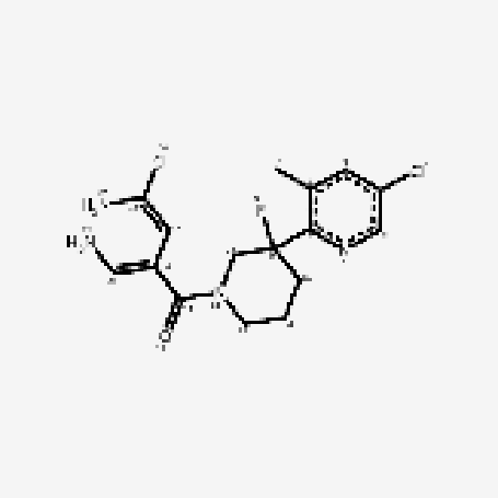 Cc1cc(Cl)cnc1C1(F)CCCN(C(=O)C(/C=C(\N)Cl)=C/N)C1